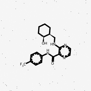 O=C(Nc1ccc(C(F)(F)F)cc1)c1nccnc1NC[C@@H]1CCCC[C@@H]1O